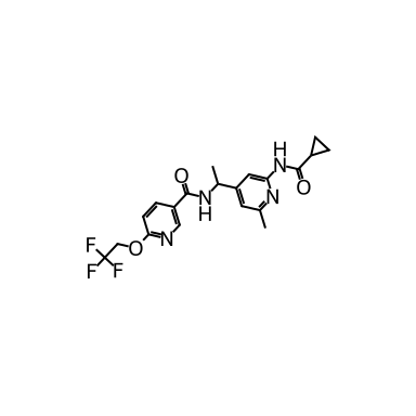 Cc1cc(C(C)NC(=O)c2ccc(OCC(F)(F)F)nc2)cc(NC(=O)C2CC2)n1